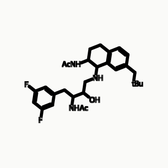 CC(=O)NC(Cc1cc(F)cc(F)c1)C(O)CNC1c2cc(CC(C)(C)C)ccc2CCC1NC(C)=O